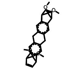 COC1(OC)C2C=CC1c1cc3c(cc12)Cc1cc2c(cc1C3)C1C=CC2C1(OC)OC